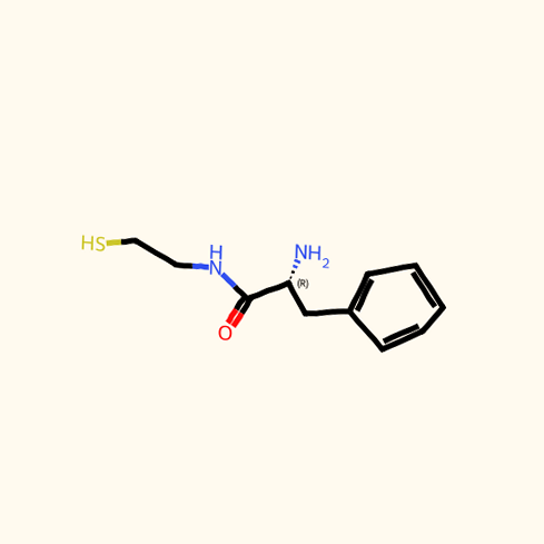 N[C@H](Cc1ccccc1)C(=O)NCCS